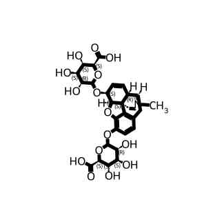 CN1CC[C@]23c4c5ccc(OC6O[C@H](C(=O)O)[C@@H](O)[C@H](O)[C@H]6O)c4O[C@H]2[C@@H](OC2O[C@H](C(=O)O)[C@@H](O)[C@H](O)[C@H]2O)C=C[C@H]3[C@H]1C5